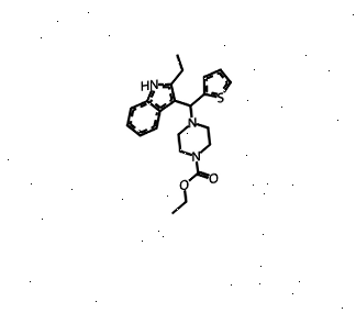 CCOC(=O)N1CCN(C(c2cccs2)c2c(CC)[nH]c3ccccc23)CC1